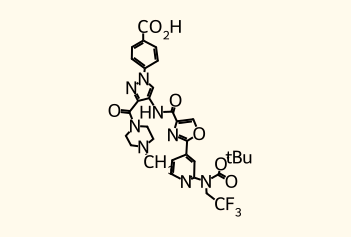 CN1CCN(C(=O)c2nn(-c3ccc(C(=O)O)cc3)cc2NC(=O)c2coc(-c3ccnc(N(CC(F)(F)F)C(=O)OC(C)(C)C)c3)n2)CC1